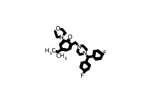 CC(C)c1ccc(CN2CCN(C(c3ccc(F)cc3)c3ccc(F)cc3)CC2)c(=O)c(N2CCOCC2)c1